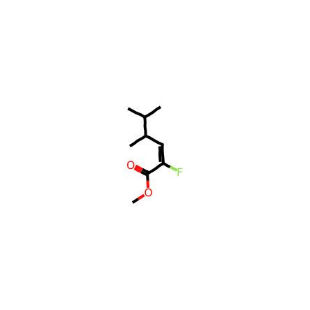 COC(=O)/C(F)=C\C(C)C(C)C